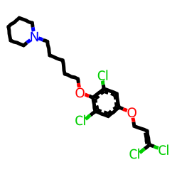 ClC(Cl)=CCOc1cc(Cl)c(OCCCCCN2CCCCC2)c(Cl)c1